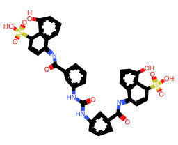 O=C(Nc1cccc(C(=O)N=C2C=CC(S(=O)(=O)O)c3c(O)cccc32)c1)Nc1cccc(C(=O)N=C2C=CC(S(=O)(=O)O)c3c(O)cccc32)c1